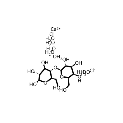 O.O.O.O.O.O.O.OC[C@H]1O[C@@H](O[C@H]2[C@H](O)[C@@H](O)[C@H](O)O[C@@H]2CO)[C@H](O)[C@@H](O)[C@H]1O.[Ca+2].[Cl-].[Cl-]